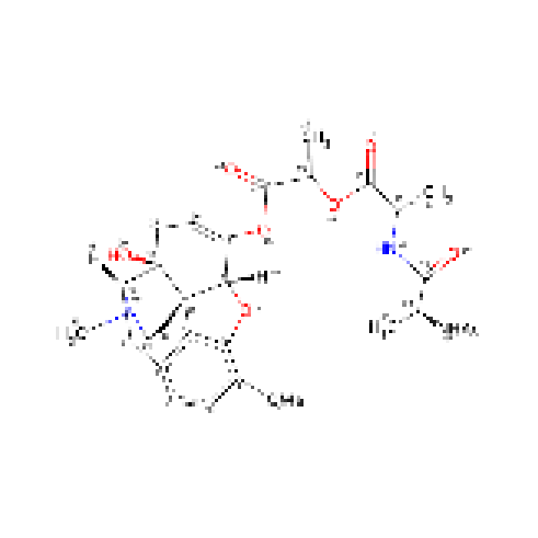 COc1ccc2c3c1O[C@H]1C(OC(=O)[C@H](C)OC(=O)[C@H](C)NC(=O)[C@H](C)NC(C)=O)=CC[C@@]4(O)[C@@H](C2)N(C)CC[C@]314